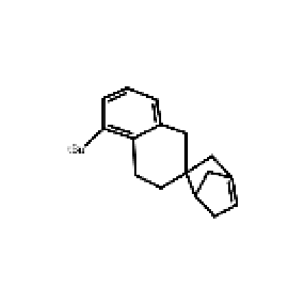 CC(C)(C)c1cccc2c1CCC1(CC3=CCC1C3)C2